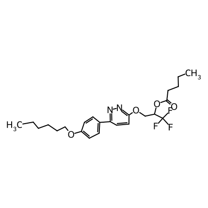 CCCCCCOc1ccc(-c2ccc(OCC(OC(=O)CCCC)C(F)(F)F)nn2)cc1